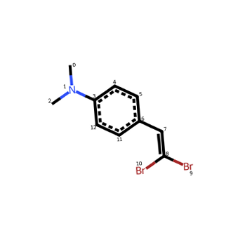 CN(C)c1ccc(C=C(Br)Br)cc1